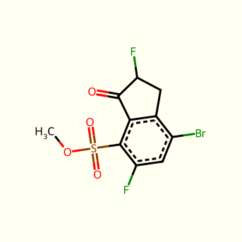 COS(=O)(=O)c1c(F)cc(Br)c2c1C(=O)C(F)C2